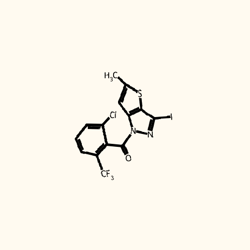 Cc1cc2c(s1)c(I)nn2C(=O)c1c(Cl)cccc1C(F)(F)F